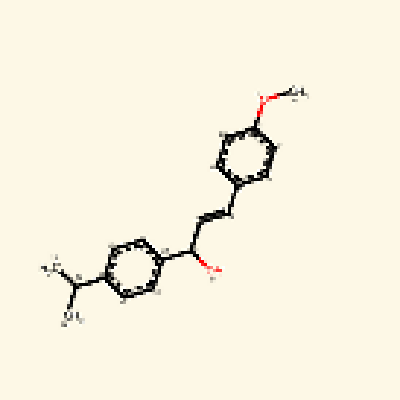 COc1ccc(/C=C/C(O)c2ccc(C(C)C)cc2)cc1